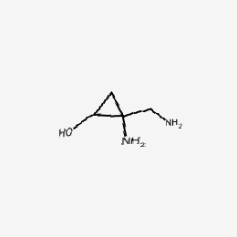 NCC1(N)CC1O